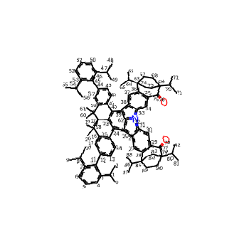 CC(C)c1cccc(C(C)C)c1-c1ccc2c(c1)C(C)(C)C1(C)c3c-2c2c4cc5c(cc4n4c6cc7c(cc6c(c3-c3ccc(-c6c(C(C)C)cccc6C(C)C)cc3C1(C)C)c24)C1(C(C)C)CCC(C(C)C)(CC1)C7=O)C(=O)C1(C(C)C)CCC5(C(C)C)CC1